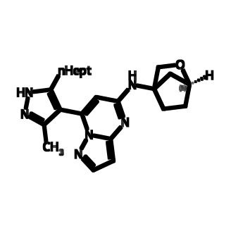 CCCCCCCc1[nH]nc(C)c1-c1cc(NC23CC[C@@H](C2)OC3)nc2ccnn12